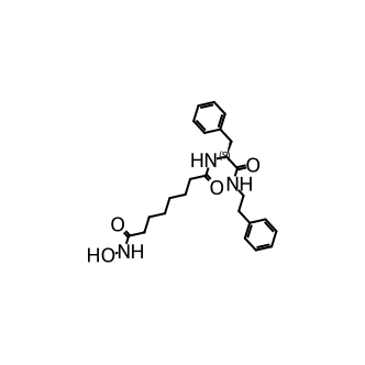 O=C(CCCCCCC(=O)N[C@@H](Cc1ccccc1)C(=O)NCCc1ccccc1)NO